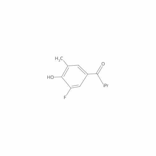 Cc1cc(C(=O)C(C)C)cc(F)c1O